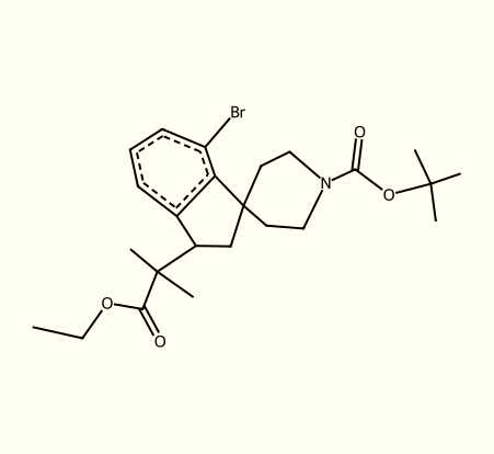 CCOC(=O)C(C)(C)C1CC2(CCN(C(=O)OC(C)(C)C)CC2)c2c(Br)cccc21